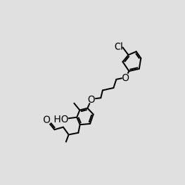 Cc1c(OCCCCOc2cccc(Cl)c2)ccc(CC(C)CC=O)c1O